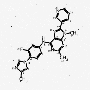 Cc1cn(-c2ccc(Nc3nc(C)cc4c3nc(-c3cccnc3)n4C)cc2F)cn1